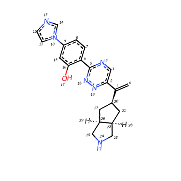 C=C(c1cnc(-c2ccc(-n3ccnc3)cc2O)nn1)[C@H]1C[C@H]2CNC[C@H]2C1